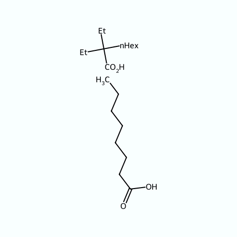 CCCCCCC(CC)(CC)C(=O)O.CCCCCCCC(=O)O